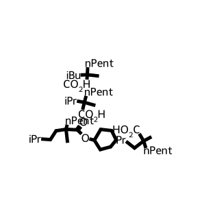 CCCCCC(C)(C(=O)O)C(C)C.CCCCCC(C)(C(=O)O)C(C)CC.CCCCCC(C)(CC(C)C)C(=O)O.CCCCCC(C)(CCC(C)C)C(=O)OC1CCCCC1